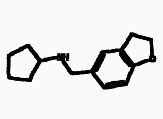 c1cc2c(cc1CNC1CCCC1)CCO2